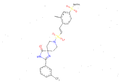 CC(=O)NS(=O)(=O)c1ccc(C=CS(=O)(=O)N2CCC3(CC2)N=C(c2cccc(C(F)(F)F)c2)NC3=O)c(C)c1